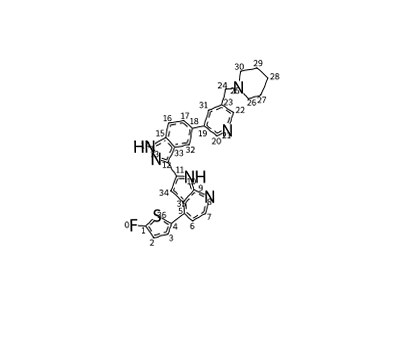 Fc1ccc(-c2ccnc3[nH]c(-c4n[nH]c5ccc(-c6cncc(CN7CCCCC7)c6)cc45)cc23)s1